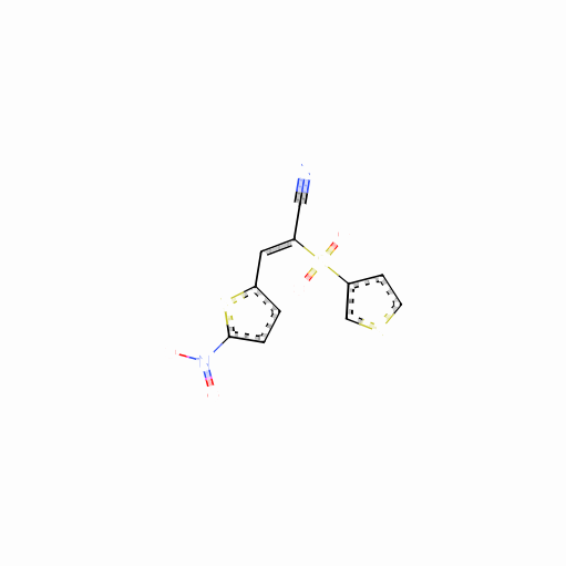 N#CC(=Cc1ccc([N+](=O)[O-])s1)S(=O)(=O)c1ccsc1